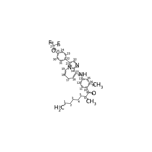 C=CCCCCC(C)C(=O)c1ccc(NC2=CCC=Cn3c(-c4ccc(OC(F)F)cc4)cnc32)cc1C